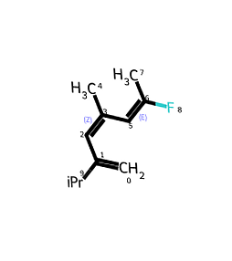 C=C(/C=C(C)\C=C(/C)F)C(C)C